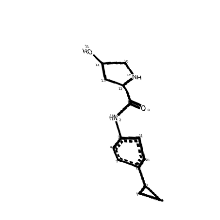 O=C(Nc1ccc(C2CC2)cc1)C1CC(O)CN1